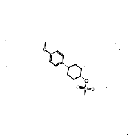 COc1ccc([C@H]2CC[C@@H](OS(C)(=O)=O)CC2)cc1